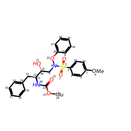 COc1ccc(S(=O)(=O)N(C[C@@H](O)[C@H](Cc2ccccc2)NC(=O)OC(C)(C)C)Oc2ccccc2)cc1